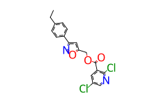 CCc1ccc(-c2cc(COC(=O)c3cc(Cl)cnc3Cl)on2)cc1